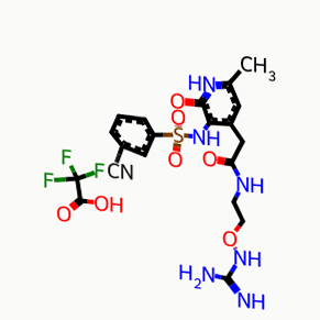 Cc1cc(CC(=O)NCCONC(=N)N)c(NS(=O)(=O)c2cccc(C#N)c2)c(=O)[nH]1.O=C(O)C(F)(F)F